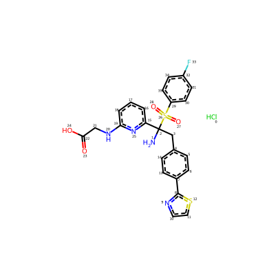 Cl.NC(Cc1ccc(-c2nccs2)cc1)(c1cccc(NCC(=O)O)n1)S(=O)(=O)c1ccc(F)cc1